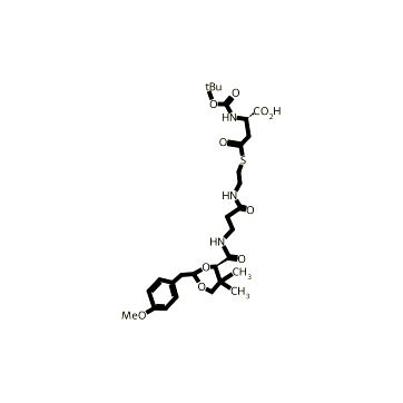 COc1ccc(CC2OCC(C)(C)[C@H](C(=O)NCCC(=O)NCCSC(=O)C[C@H](NC(=O)OC(C)(C)C)C(=O)O)O2)cc1